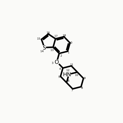 c1cc(OC2CC3CCCC(C2)N3)c2sccc2c1